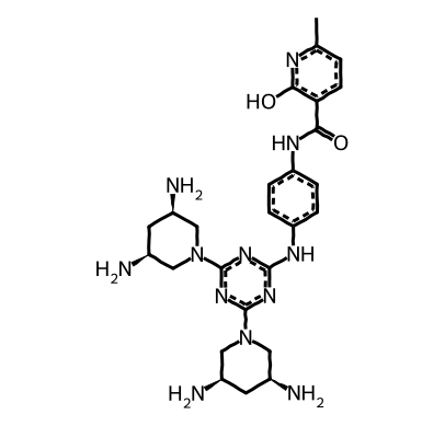 Cc1ccc(C(=O)Nc2ccc(Nc3nc(N4C[C@H](N)C[C@H](N)C4)nc(N4C[C@H](N)C[C@H](N)C4)n3)cc2)c(O)n1